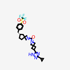 O=C(N1CC2(CC(c3nc(C4CC4)n[nH]3)C2)C1)N1CC2(CC[C@H](Cc3ccc(S(=O)(=O)C(F)(F)F)cc3)C2)C1